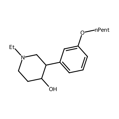 CCCCCOc1cccc(C2CN(CC)CCC2O)c1